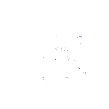 CC(C)C[C@@H](C(=O)N1C[C@]2(C[C@H]1C#N)C(=O)Nc1ccccc12)N(C)C(=O)OCc1ccccc1